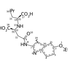 CCOc1ccc2nc(NC(=O)C[C@H](N[C@@H](CC(C)C)C(=O)O)C(=O)O)sc2c1